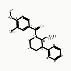 CC(C)Oc1ccc(C(=O)N2CCCC(c3ccccc3)C2C(=O)O)cc1Cl